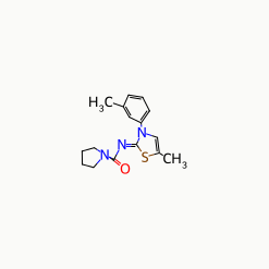 Cc1cccc(-n2cc(C)sc2=NC(=O)N2CCCC2)c1